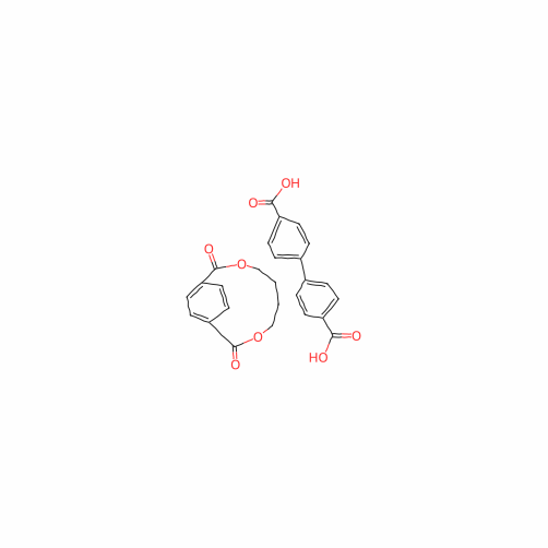 O=C(O)c1ccc(-c2ccc(C(=O)O)cc2)cc1.O=C1OCCCCOC(=O)c2ccc1cc2